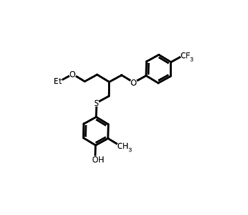 CCOCCC(COc1ccc(C(F)(F)F)cc1)CSc1ccc(O)c(C)c1